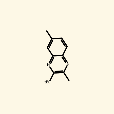 Cc1ccc2nc(C)c(C(C)(C)C)nc2c1